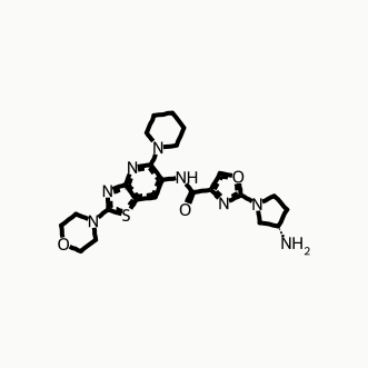 N[C@H]1CCN(c2nc(C(=O)Nc3cc4sc(N5CCOCC5)nc4nc3N3CCCCC3)co2)C1